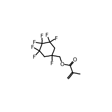 C=C(C)C(=O)OCC1(F)CC(F)(F)C(F)(F)C(F)(F)C1